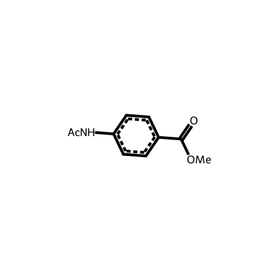 COC(=O)c1ccc(NC(C)=O)cc1